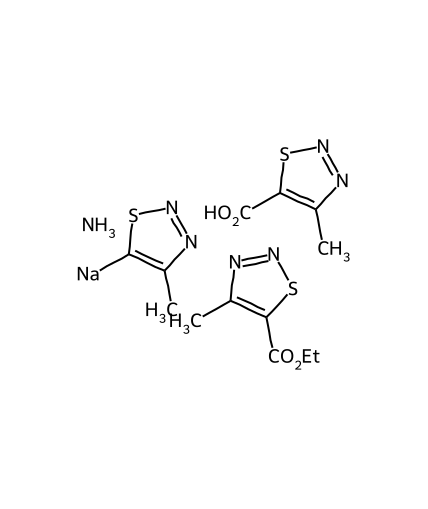 CCOC(=O)c1snnc1C.Cc1nns[c]1[Na].Cc1nnsc1C(=O)O.N